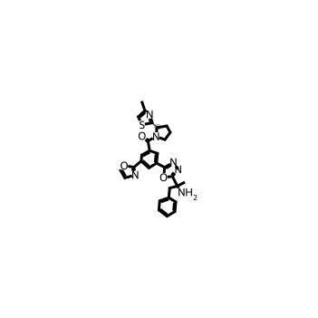 Cc1csc([C@@H]2CCCN2C(=O)c2cc(-c3ncco3)cc(-c3nnc(C(C)(N)Cc4ccccc4)o3)c2)n1